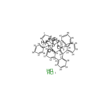 Cl.Cl.[CH2]=[Zr]([C]1=CC=CC1)([c]1cccc2c1c1c(c3ccccc32)-c2ccccc2C1)([C](C)(C)c1ccccc1)[C](C)(C)c1ccccc1